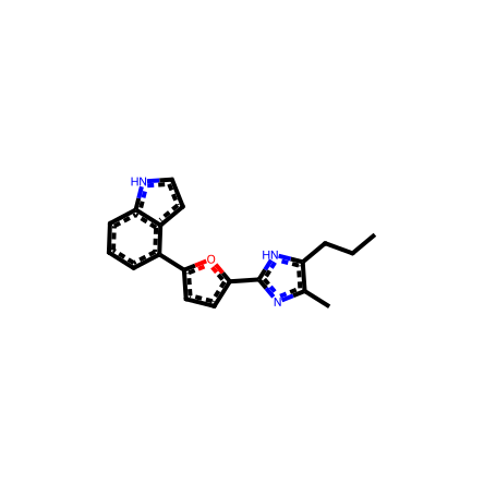 CCCc1[nH]c(-c2ccc(-c3cccc4[nH]ccc34)o2)nc1C